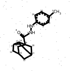 Cc1ccc(NNC(=O)C23CC4CC(CC(C4)C2)C3)cc1